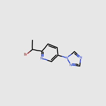 CC(Br)c1ccc(-n2cncn2)cn1